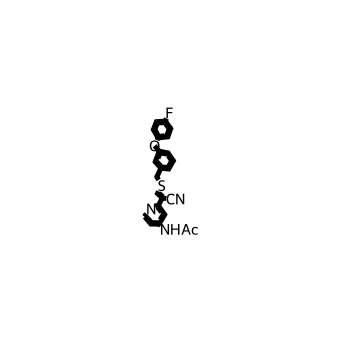 CC(=O)Nc1ccnc(C(C#N)=CSCc2cccc(Oc3ccc(F)cc3)c2)c1